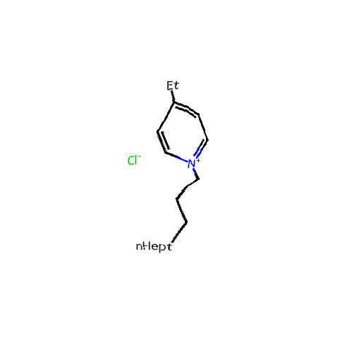 CCCCCCCCCC[n+]1ccc(CC)cc1.[Cl-]